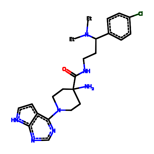 CCN(CC)C(CCNC(=O)C1(N)CCN(c2ncnc3[nH]ccc23)CC1)c1ccc(Cl)cc1